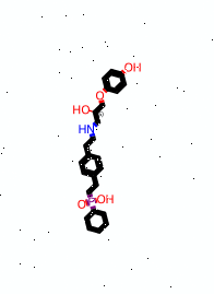 O=P(O)(CCc1ccc(CCNC[C@H](O)COc2ccc(O)cc2)cc1)C1CCCCC1